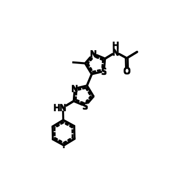 CC(=O)Nc1nc(C)c(-c2csc(Nc3cc[c]cc3)n2)s1